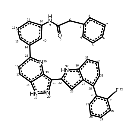 O=C(Cc1ccccc1)Nc1cncc(-c2ccc3[nH]nc(-c4cc5c(-c6ccccc6F)cccc5[nH]4)c3n2)c1